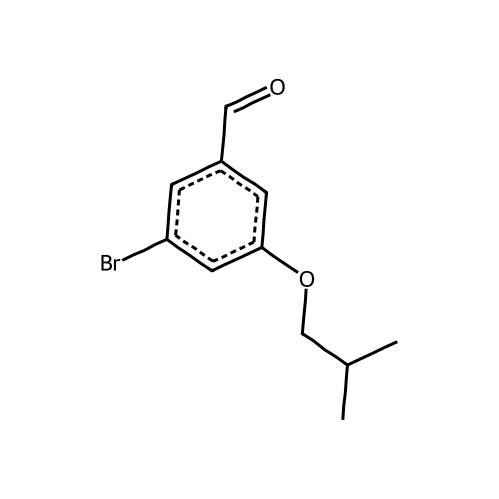 CC(C)COc1cc(Br)cc(C=O)c1